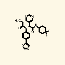 CCC(=O)N(c1ccc(-c2cncs2)cc1)[C@@H](C(=O)N(I)C1CCC(F)(F)CC1)c1cncnc1